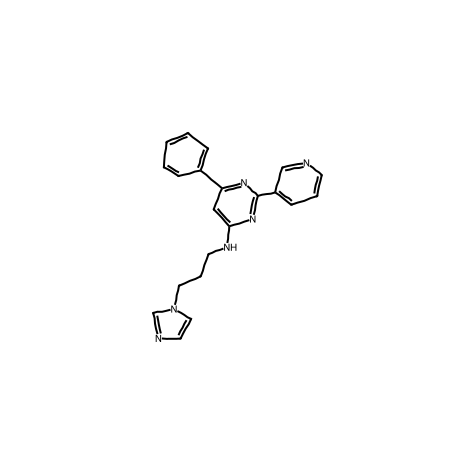 c1ccc(-c2cc(NCCCn3ccnc3)nc(-c3cccnc3)n2)cc1